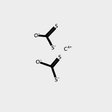 [C+4].[O-]C(=S)[S-].[O-]C(=S)[S-]